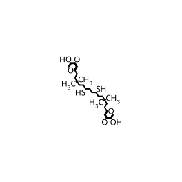 CC(C)(CCc1cc(=O)c(O)co1)CCC(S)CCC(S)CCC(C)(C)CCc1cc(=O)c(O)co1